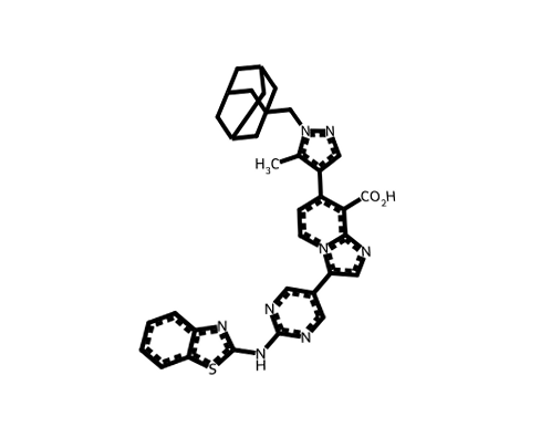 Cc1c(-c2ccn3c(-c4cnc(Nc5nc6ccccc6s5)nc4)cnc3c2C(=O)O)cnn1CC12CC3CC(CC(C3)C1)C2